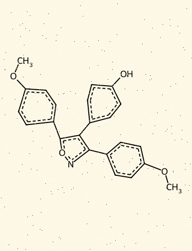 COc1ccc(-c2noc(-c3ccc(OC)cc3)c2-c2ccc(O)cc2)cc1